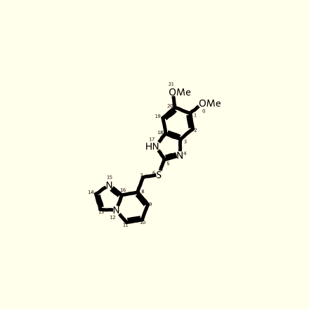 COc1cc2nc(SCc3cccn4ccnc34)[nH]c2cc1OC